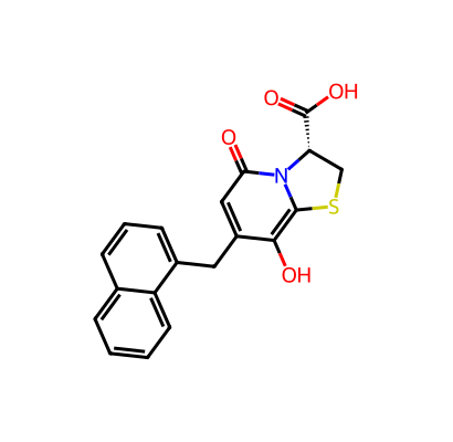 O=C(O)[C@@H]1CSc2c(O)c(Cc3cccc4ccccc34)cc(=O)n21